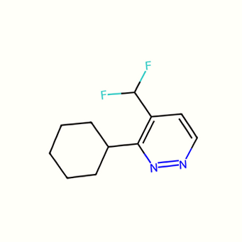 FC(F)c1ccnnc1C1CCCCC1